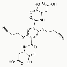 N#CCCSc1cc(C(=O)NC(CC(=O)O)C(=O)O)c(SCCC#N)cc1C(=O)NC(CC(=O)O)C(=O)O